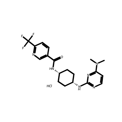 CN(C)c1ccnc(N[C@H]2CC[C@@H](NC(=O)c3ccc(C(F)(F)F)nc3)CC2)n1.Cl